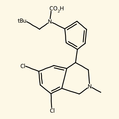 CN1Cc2c(Cl)cc(Cl)cc2C(c2cccc(N(CC(C)(C)C)C(=O)O)c2)C1